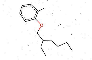 CCCCC(CC)COc1ccccc1C